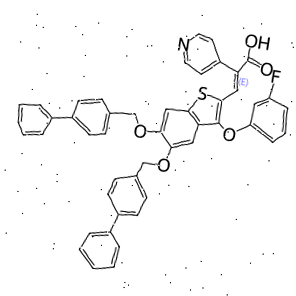 O=C(O)/C(=C/c1sc2cc(OCc3ccc(-c4ccccc4)cc3)c(OCc3ccc(-c4ccccc4)cc3)cc2c1Oc1cccc(F)c1)c1ccncc1